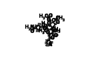 CC(=O)OCC1(C)C(OC(C)=O)CC[C@@]2(C)C1C[C@H](OC(=O)c1ccc(C(N)=O)cc1)[C@@]1(C)Oc3cc(-c4cccnc4)oc(=O)c3[C@H](O)C21